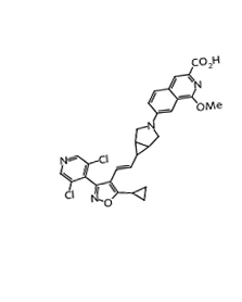 COc1nc(C(=O)O)cc2ccc(N3CC4C(C=Cc5c(-c6c(Cl)cncc6Cl)noc5C5CC5)C4C3)cc12